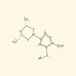 CCCSc1nc(N2C[C@@H](C)O[C@@H](C)C2)ncc1C(=O)O